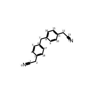 N#CCc1ccc(Cc2ccc(CC#N)cc2)cc1